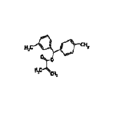 C=C(C)C(=O)OC(c1ccc(C)cc1)c1cccc(C)c1